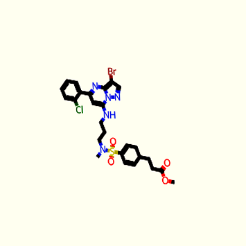 COC(=O)CCC1C=CC(S(=O)(=O)N(C)CCCNc2cc(-c3ccccc3Cl)nc3c(Br)cnn23)=CC1